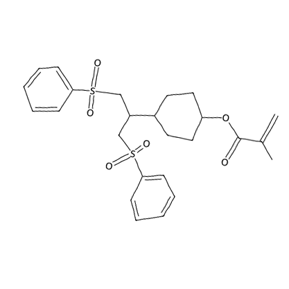 C=C(C)C(=O)OC1CCC(C(CS(=O)(=O)c2ccccc2)CS(=O)(=O)c2ccccc2)CC1